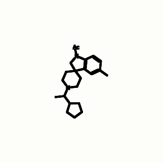 CC(=O)N1CC2(CCN(C(C)C3CCCC3)CC2)c2cc(C)ccc21